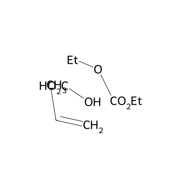 C=CC.CCOC(=O)OCC.O=C(O)O